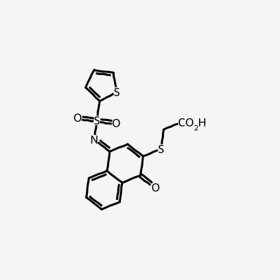 O=C(O)CSC1=C/C(=N\S(=O)(=O)c2cccs2)c2ccccc2C1=O